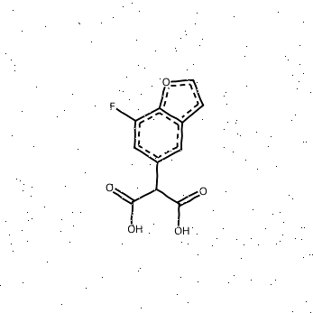 O=C(O)C(C(=O)O)c1cc(F)c2occc2c1